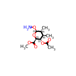 COC(=O)[C@H]1O[C@@H](ON)[C@H](C)[C@@H](C)[C@@H]1OC(C)=O